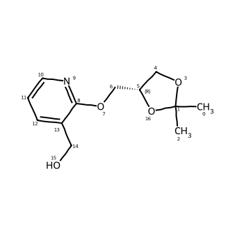 CC1(C)OC[C@@H](COc2ncccc2CO)O1